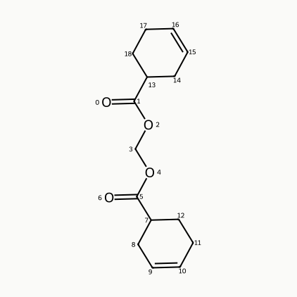 O=C(OCOC(=O)C1CC=CCC1)C1CC=CCC1